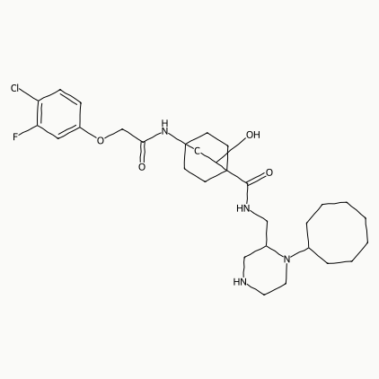 O=C(COc1ccc(Cl)c(F)c1)NC12CCC(C(=O)NCC3CNCCN3C3CCCCCCC3)(CC1)C(O)C2